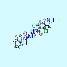 O=C(NCCNC(=O)c1c(Cl)cc2c(c1Cl)CCNC2)NC1CCc2ccccc21